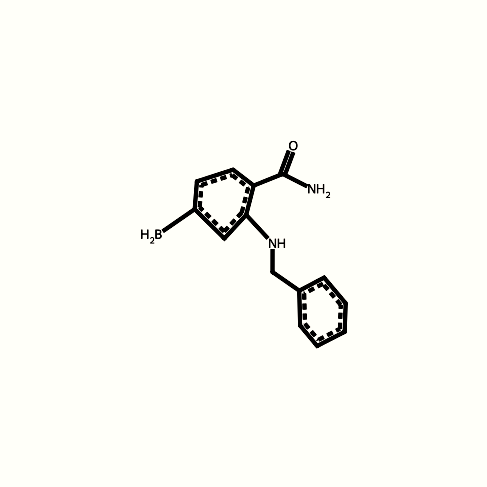 Bc1ccc(C(N)=O)c(NCc2ccccc2)c1